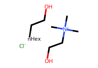 CCCCCCCCO.C[N+](C)(C)CCO.[Cl-]